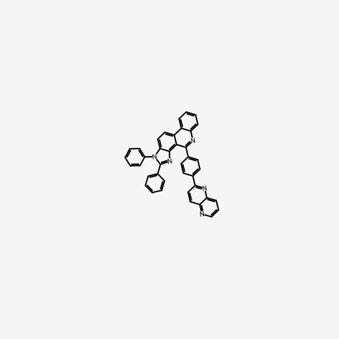 c1ccc(-c2nc3c4c(-c5ccc(-c6ccc7ncccc7n6)cc5)nc5ccccc5c4ccc3n2-c2ccccc2)cc1